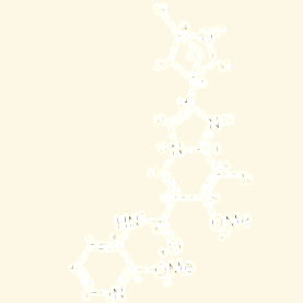 COc1ncccc1NC(=O)c1cn2cc(C34COC(C)(C3)C4)nc2c(C)c1OC